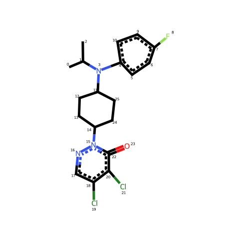 CC(C)N(c1ccc(F)cc1)C1CCC(n2ncc(Cl)c(Cl)c2=O)CC1